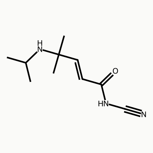 CC(C)NC(C)(C)C=CC(=O)NC#N